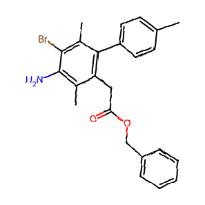 Cc1ccc(-c2c(C)c(Br)c(N)c(C)c2CC(=O)OCc2ccccc2)cc1